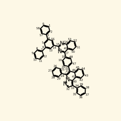 c1ccc(-c2cc(-c3ccccc3)cc(-c3nc(-c4ccc(-c5c(-c6ccccc6)n6ncc(-c7ccccc7)c6c6ccccc56)cc4)c4ccccc4n3)c2)cc1